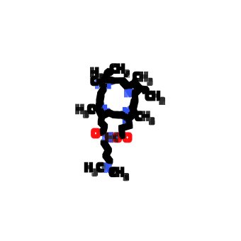 C=CC1=C(C)c2cc3[nH]c(cc4nc(cc5[nH]c(cc1n2)c(C)c5CCC(=O)O)C(CCC(=O)NCCCCN(C)C)=C4C)c(C)c3C=C